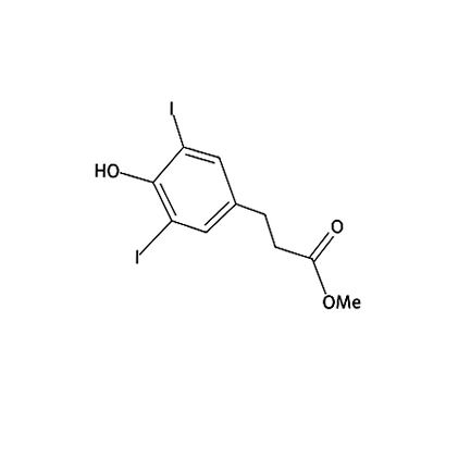 COC(=O)CCc1cc(I)c(O)c(I)c1